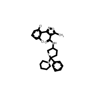 Cc1onc(-c2c(Cl)cccc2Cl)c1C(=O)NC1CCC(c2ccccc2)(N2CCCCC2)CC1